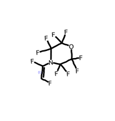 F/C=C(/F)N1C(F)(F)C(F)(F)OC(F)(F)C1(F)F